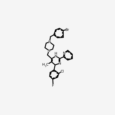 CC1=C(CN2CCN(Cc3ccc(Br)cc3)CC2)NC(c2ccccn2)=NC1c1ccc(F)cc1Cl